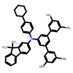 CCCCc1cc(CCCC)cc(-c2cc(-c3cc(CCCC)cc(CCCC)c3)cc(N(c3ccc(C4CCCCC4)cc3)c3ccc4c(c3)C(C)(C)c3ccccc3-4)c2)c1